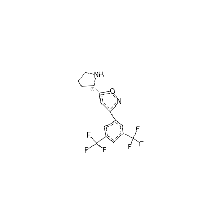 FC(F)(F)c1cc(-c2cc([C@@H]3CCCN3)on2)cc(C(F)(F)F)c1